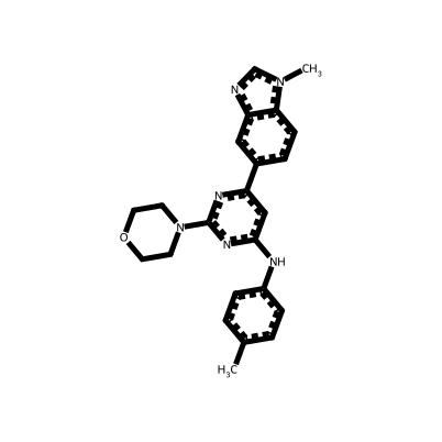 Cc1ccc(Nc2cc(-c3ccc4c(c3)ncn4C)nc(N3CCOCC3)n2)cc1